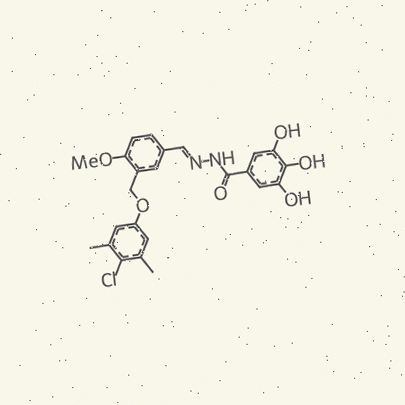 COc1ccc(/C=N/NC(=O)c2cc(O)c(O)c(O)c2)cc1COc1cc(C)c(Cl)c(C)c1